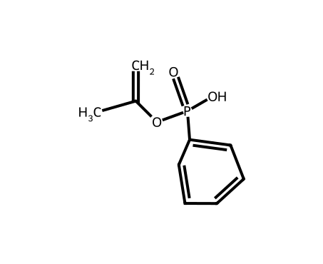 C=C(C)OP(=O)(O)c1ccccc1